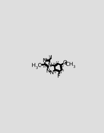 COc1cc(F)c2nnc3c(C)nc(I)n3c2c1